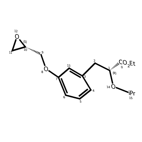 CCOC(=O)[C@@H](Cc1cccc(OC[C@@H]2CO2)c1)OC(C)C